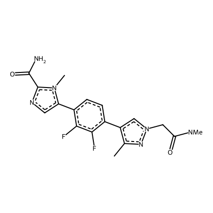 CNC(=O)Cn1cc(-c2ccc(-c3cnc(C(N)=O)n3C)c(F)c2F)c(C)n1